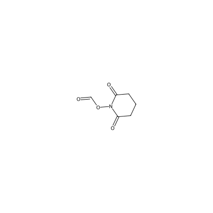 O=CON1C(=O)CCCC1=O